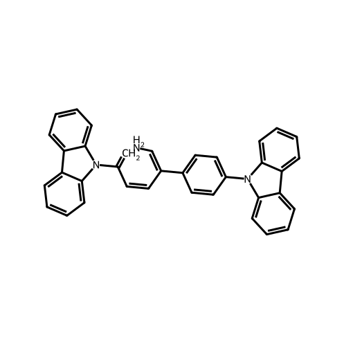 C=C(/C=C\C(=C/N)c1ccc(-n2c3ccccc3c3ccccc32)cc1)n1c2ccccc2c2ccccc21